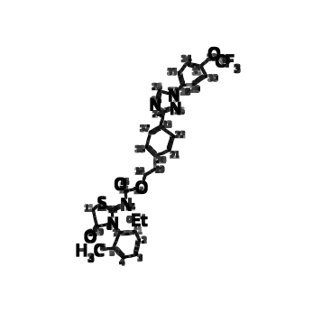 CCc1cccc(C)c1N1C(=O)CS/C1=N\C(=O)OCCc1ccc(-c2ncn(-c3ccc(OC(F)(F)F)cc3)n2)cc1